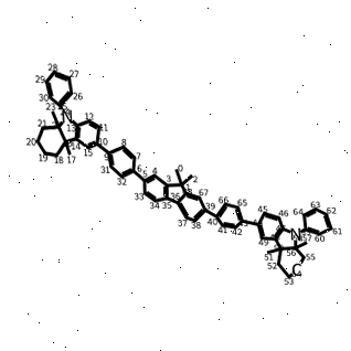 CC1(C)c2cc(-c3ccc(-c4ccc5c(c4)C4(C)CCCCC4(C)N5c4ccccc4)cc3)ccc2-c2ccc(-c3ccc(-c4ccc5c(c4)C4(C)CCCCC4(C)N5c4ccccc4)cc3)cc21